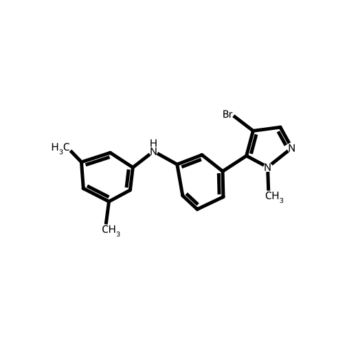 Cc1cc(C)cc(Nc2cccc(-c3c(Br)cnn3C)c2)c1